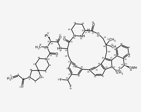 C=CC(=O)N1COC2(CCN(C(=O)N(C)[C@H](C(=O)NC3Cc4cc(C(F)F)cc(n4)-c4ccc5c(c4)c(c(-c4cccnc4[C@H](C)OC)n5CC)CC(C)(C)COC(=O)[C@@H]4CCCN(N4)C3=O)C(C)C)CC2)C1